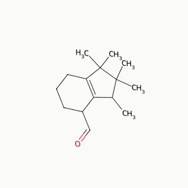 CC1C2=C(CCCC2C=O)C(C)(C)C1(C)C